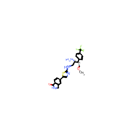 COC[C@@H](c1ccc(C(F)(F)F)cc1)[C@H](N)CNc1ncc(-c2ccc3c(c2)CNC3=O)s1